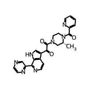 C[C@@H]1CN(C(=O)C(=O)c2c[nH]c3c(-c4cnccn4)nccc23)CCN1C(=O)c1ccccn1